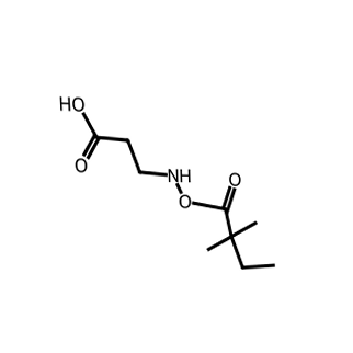 CCC(C)(C)C(=O)ONCCC(=O)O